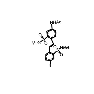 CNS(=O)(=O)c1cc(C)ccc1/C=C/c1ccc(NC(C)=O)cc1S(=O)(=O)NC